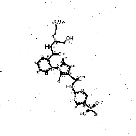 CSCC[C@@H](CO)NC(=O)c1ccccc1-n1c(C)cc(C(=O)Nc2ccc(S(C)(=O)=O)cc2)c1C